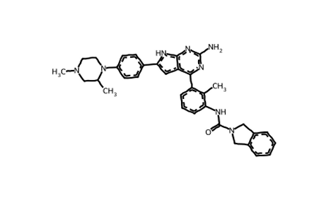 Cc1c(NC(=O)N2Cc3ccccc3C2)cccc1-c1nc(N)nc2[nH]c(-c3ccc(N4CCN(C)CC4C)cc3)cc12